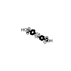 O=S(=O)(O)c1ccc([Te][Te]c2ccc(S(=O)(=O)O)cc2)cc1